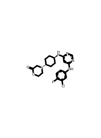 O=C1CN([C@H]2CC[C@H](Nc3cc(Nc4ccc(F)c(Cl)c4)ncn3)CC2)CCO1